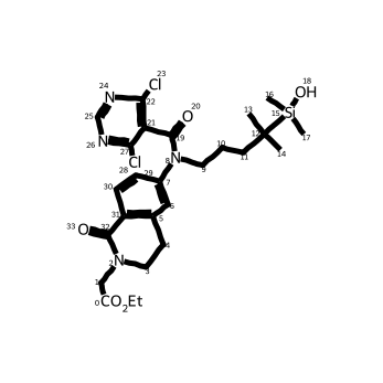 CCOC(=O)CN1CCc2cc(N(CCCC(C)(C)[Si](C)(C)O)C(=O)c3c(Cl)ncnc3Cl)ccc2C1=O